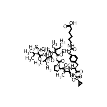 CC[C@H](C)[C@@H]([C@@H](CC(=O)N1CCC[C@H]1[C@H](OC)[C@@H](C)C(=O)N[C@@H](Cc1ccc(OC(=O)NCCCCCC(=O)O)cc1)C(=O)NS(=O)(=O)C1CC1)OC)N(C)C(=O)[C@@H](NC(=O)[C@H](C(C)C)N(C)C)C(C)C